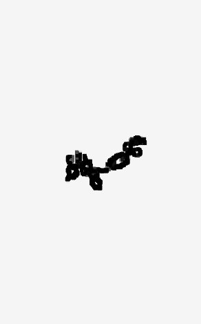 Cc1ccc(NC(=O)C(C)Sc2nc3ccccc3n2CCN2CCN(C(=O)OC(C)(C)C)CC2)c(Cl)c1